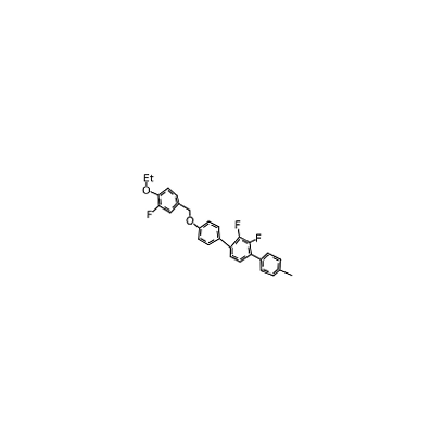 CCOc1ccc(COc2ccc(-c3ccc(-c4ccc(C)cc4)c(F)c3F)cc2)cc1F